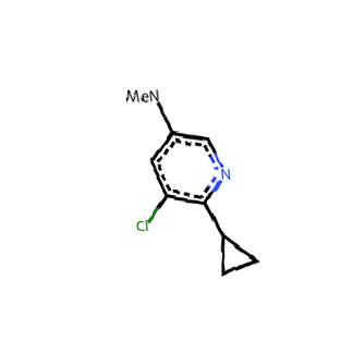 CNc1cnc(C2CC2)c(Cl)c1